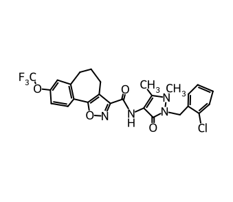 Cc1c(NC(=O)c2noc3c2CCCc2cc(OC(F)(F)F)ccc2-3)c(=O)n(Cc2ccccc2Cl)n1C